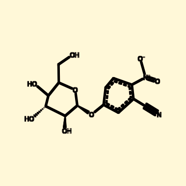 N#Cc1cc(O[C@@H]2OC(CO)C(O)[C@@H](O)[C@@H]2O)ccc1[N+](=O)[O-]